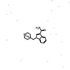 NC(=O)c1cn(CC23CCN(CC2)CC3)c2ccccc12